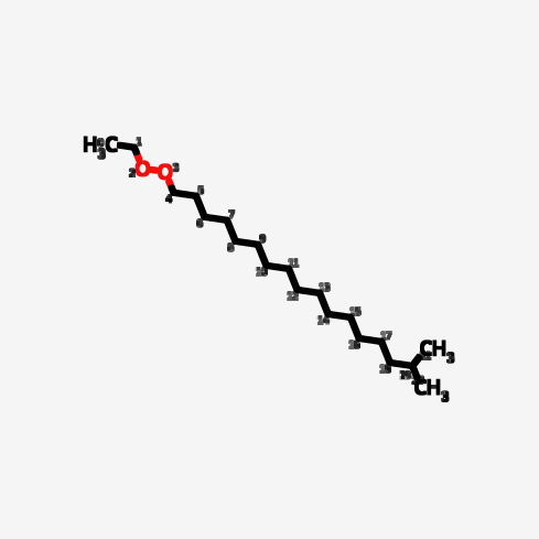 CCOOCCCCCCCCCCCCCCCC(C)C